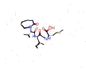 CC[C@H](C)[C@H](NC(=O)[C@H](C(C)C)N1CCCCC1=O)C(=O)N[C@@H](CCSC)C(=O)O